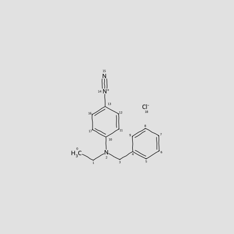 CCN(Cc1ccccc1)c1ccc([N+]#N)cc1.[Cl-]